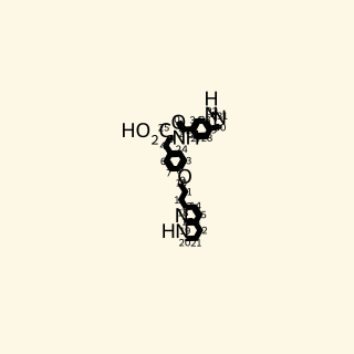 O=C(NC(Cc1ccc(OCCCc2ccc3c(n2)NCCC3)cc1)C(=O)O)c1ccc2cn[nH]c2c1